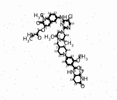 CNC(=O)COc1cc2cc(Nc3nc(N4C[C@@H](C)N(CC5CCN(c6ccc(C(=O)NC7CCC(=O)NC7=O)c(OC)c6)CC5)[C@@H](C)C4)ncc3Cl)ccc2n(C)c1=O